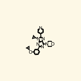 c1cc(OC2CC2)cc(-c2nc(N3CCOCC3)c3nc(-c4ccncc4)n(C4CC4)c3n2)c1